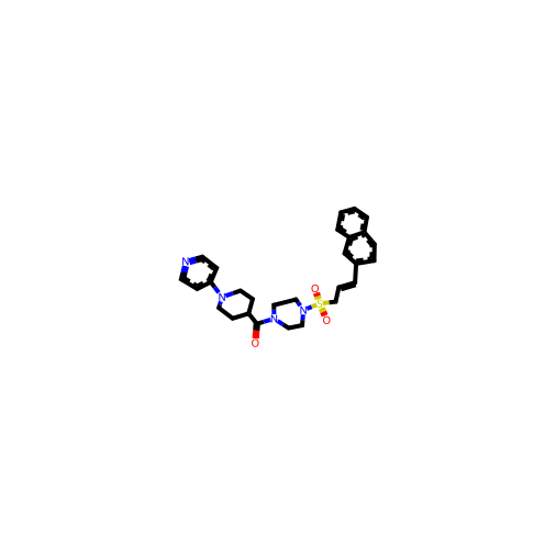 O=C(C1CCN(c2ccncc2)CC1)N1CCN(S(=O)(=O)CC=Cc2ccc3ccccc3c2)CC1